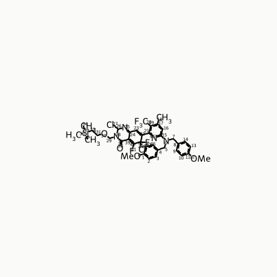 COc1ccc(CN(Cc2ccc(OC)cc2)c2cc(C)c(C(F)(F)F)c(C3=CC4=NC(Cl)N(COCC[Si](C)(C)C)C(=O)C4=C(F)C3(F)Cl)n2)cc1